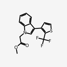 COC(=O)Cn1cc(-c2ccsc2C(F)(F)F)c2ccccc21